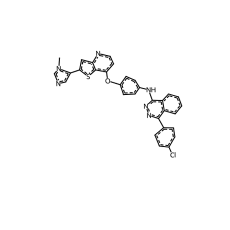 Cn1cncc1-c1cc2nccc(Oc3ccc(Nc4nnc(-c5ccc(Cl)cc5)c5ccccc45)cc3)c2s1